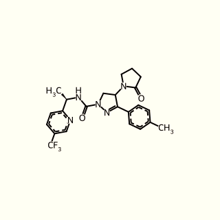 Cc1ccc(C2=NN(C(=O)N[C@H](C)c3ccc(C(F)(F)F)cn3)CC2N2CCCC2=O)cc1